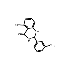 CCc1cccc2c1C(=O)NC(c1cccc(C)c1)N2